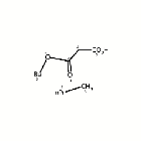 CCC(C)OC(=O)CC(=O)O.CCCC